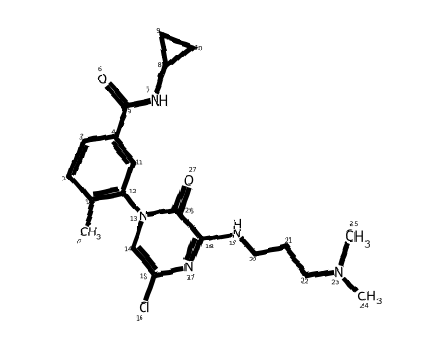 Cc1ccc(C(=O)NC2CC2)cc1-n1cc(Cl)nc(NCCCN(C)C)c1=O